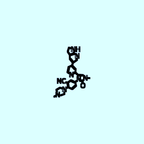 CN1CCN(c2ccc(-n3c(-c4cc(-c5cnc6c(c5)CCN6)ccn4)cn(C)c3=O)cc2C#N)CC1